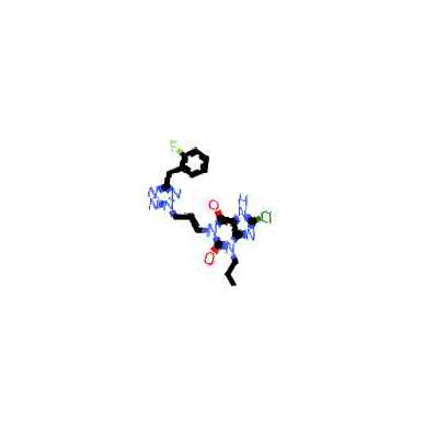 CCCn1c(=O)n(CCCn2nnc(Cc3ccccc3F)n2)c(=O)c2[nH]c(Cl)nc21